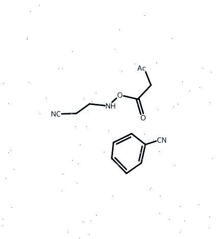 CC(=O)CC(=O)ONCCC#N.N#Cc1ccccc1